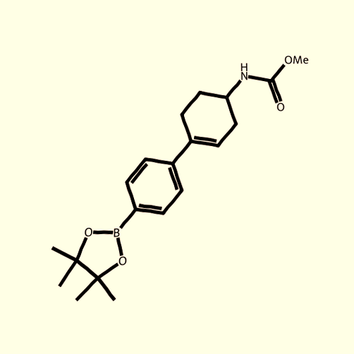 COC(=O)NC1CC=C(c2ccc(B3OC(C)(C)C(C)(C)O3)cc2)CC1